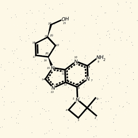 CC1(C)CCN1c1nc(N)nc2c1ncn2[C@H]1C=C[C@@H](CO)C1